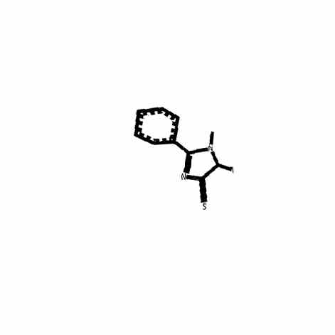 CN1C(c2ccccc2)=NC(=S)C1I